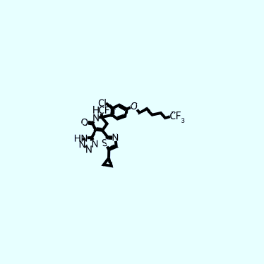 O=C1NC(c2ccc(OCCCCCC(F)(F)F)cc2Cl)(C(F)(F)F)CC(c2ncc(C3CC3)s2)=C1c1nnn[nH]1